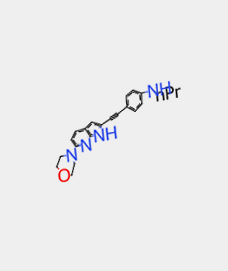 CCCNc1ccc(C#Cc2cc3ccc(N4CCOCC4)nc3[nH]2)cc1